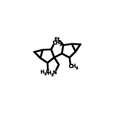 CCC1C2CC2C(C)C1C1(CN)C(C)C2CC2C1C